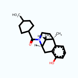 CC1(C)[C@H]2Cc3c(O)cccc3[C@]1(C)CCN2C(=O)C1CCC(C(=O)O)CC1